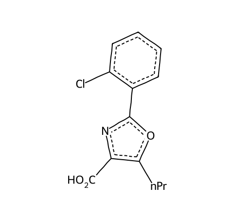 CCCc1oc(-c2ccccc2Cl)nc1C(=O)O